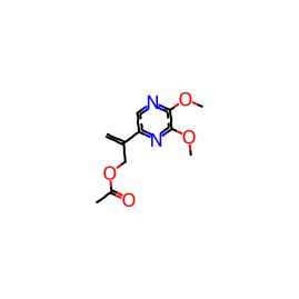 C=C(COC(C)=O)c1cnc(OC)c(OC)n1